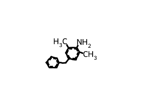 Cc1cc(Cc2ccccc2)cc(C)c1N